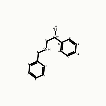 [2H][C@H](CNCc1ccccc1)c1ccccc1